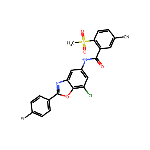 CCc1ccc(-c2nc3cc(NC(=O)c4cc(C#N)ccc4S(C)(=O)=O)cc(Cl)c3o2)cc1